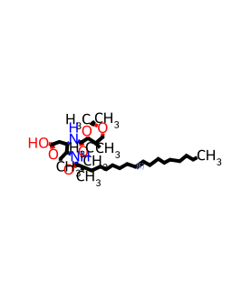 CCCCCCCC/C=C/CCCCCCC(C)(C)C(=O)NC(CC)C(CC(=O)O)NC(=O)C1OC(C)(C)OCC1(C)C